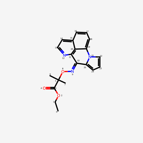 CCOC(=O)C(C)(C)ON=c1c2nccc3cccc(c32)n2cccc12